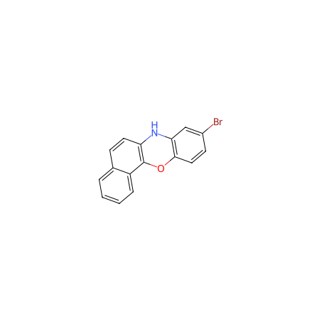 Brc1ccc2c(c1)Nc1ccc3ccccc3c1O2